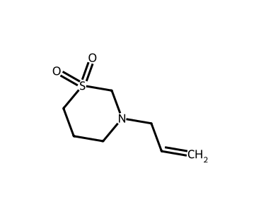 C=CCN1CCCS(=O)(=O)C1